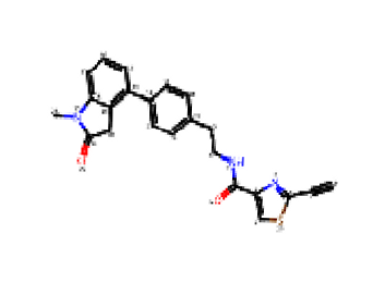 C#Cc1nc(C(=O)NCCc2ccc(-c3cccc4c3CC(=O)N4C)cc2)cs1